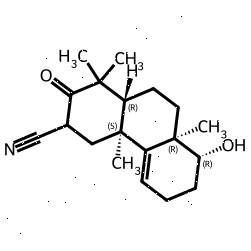 CC1(C)C(=O)C(C#N)C[C@]2(C)C3=CCC[C@@H](O)[C@]3(C)CC[C@@H]12